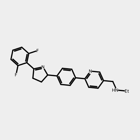 CCNCc1ccc(-c2ccc(C3CCC(c4c(F)cccc4F)=N3)cc2)nc1